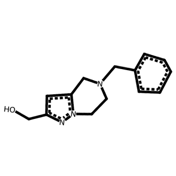 OCc1cc2n(n1)CCN(Cc1ccccc1)C2